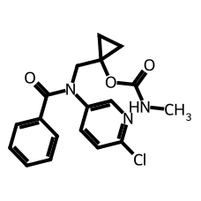 CNC(=O)OC1(CN(C(=O)c2ccccc2)c2ccc(Cl)nc2)CC1